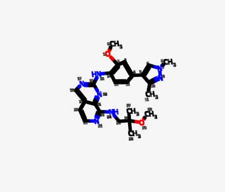 COc1cc(-c2cn(C)nc2C)ccc1Nc1ncc2ccnc(NCC(C)(C)OC)c2n1